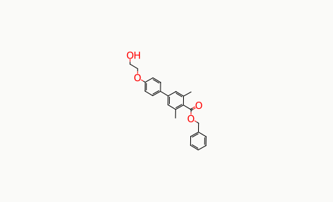 Cc1cc(-c2ccc(OCCO)cc2)cc(C)c1C(=O)OCc1ccccc1